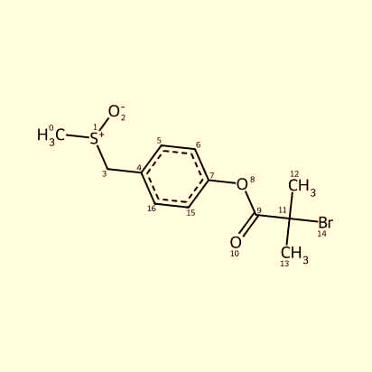 C[S+]([O-])Cc1ccc(OC(=O)C(C)(C)Br)cc1